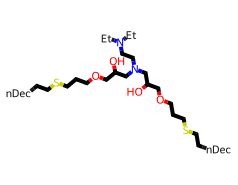 CCCCCCCCCCCCSCCCOCC(O)CN(CCN(CC)CC)CC(O)COCCCSCCCCCCCCCCCC